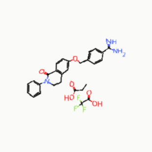 CCC(=O)O.N=C(N)c1ccc(COc2ccc3c(c2)CCN(c2ccccc2)C3=O)cc1.O=C(O)C(F)(F)F